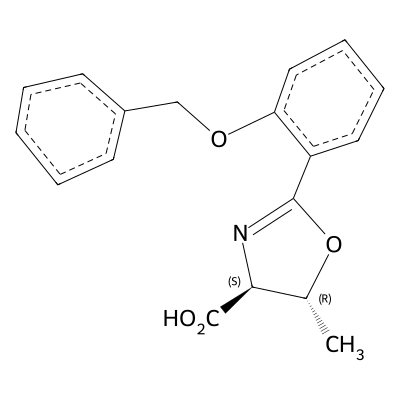 C[C@H]1OC(c2ccccc2OCc2ccccc2)=N[C@@H]1C(=O)O